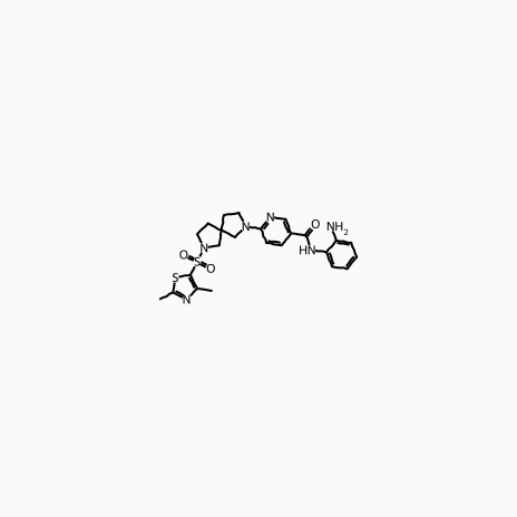 Cc1nc(C)c(S(=O)(=O)N2CCC3(CCN(c4ccc(C(=O)Nc5ccccc5N)cn4)C3)C2)s1